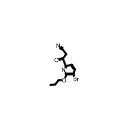 CCCOc1nc(C(=O)CC#N)ccc1Br